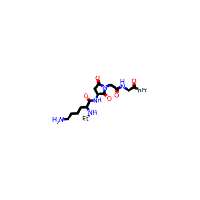 CCCC(=O)CNC(=O)CN1C(=O)CC(NC(=O)C(CCCCN)NCC)C1=O